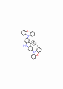 CC1(C)C2=CC(N3c4ccccc4OC4=CC=CCC43)CC=C2NC2C=CC(N3c4ccccc4Oc4ccccc43)CC21